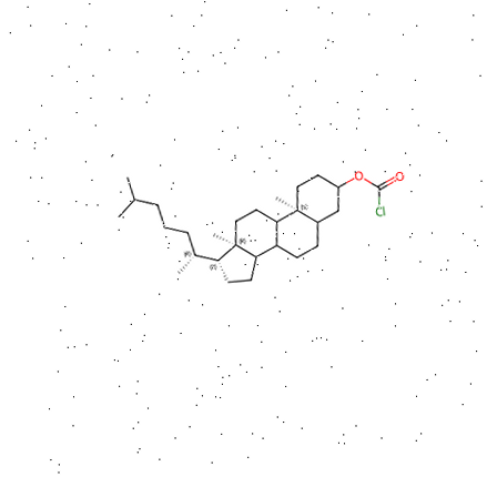 CC(C)CCC[C@@H](C)[C@H]1CCC2C3CCC4CC(OC(=O)Cl)CC[C@]4(C)C3CC[C@@]21C